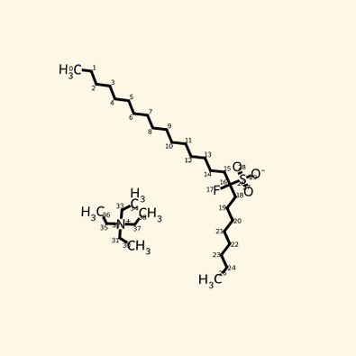 CCCCCCCCCCCCCCCCC(F)(CCCCCCCC)S(=O)(=O)[O-].CC[N+](CC)(CC)CC